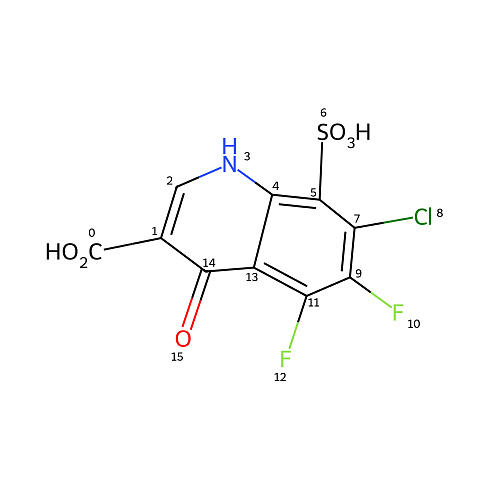 O=C(O)c1c[nH]c2c(S(=O)(=O)O)c(Cl)c(F)c(F)c2c1=O